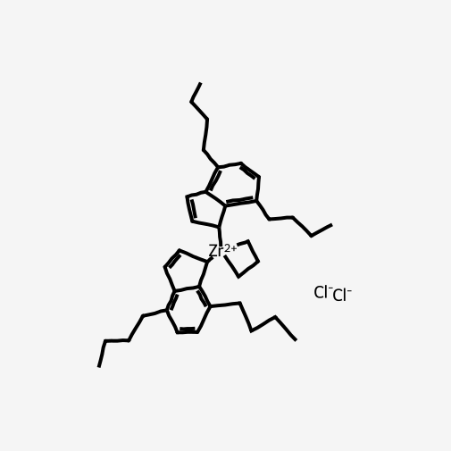 CCCCc1ccc(CCCC)c2c1C=C[CH]2[Zr+2]1([CH]2C=Cc3c(CCCC)ccc(CCCC)c32)[CH2]C[CH2]1.[Cl-].[Cl-]